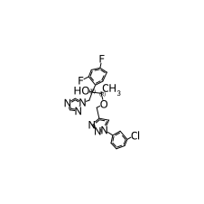 C[C@@H](OCc1cn(-c2cccc(Cl)c2)nn1)[C@](O)(Cn1cncn1)c1ccc(F)cc1F